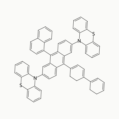 C1=CCCC(C2=CC=C(c3c4cc(N5c6ccccc6Sc6ccccc65)ccc4c(-c4cccc5ccccc45)c4cc(N5c6ccccc6Sc6ccccc65)ccc34)CC2)=C1